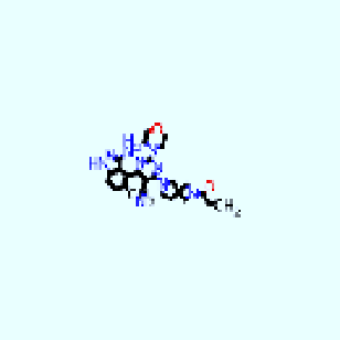 C=CC(=O)N1CC2(CCN(c3nc(N4CCOCC4)nc(-c4c(C)ccc5[nH]nc(N)c45)c3C#N)C2)C1